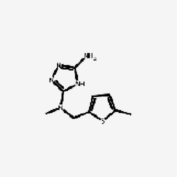 Cc1ccc(CN(C)c2nnc(N)[nH]2)s1